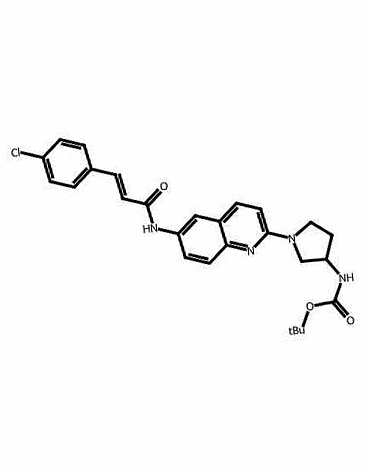 CC(C)(C)OC(=O)NC1CCN(c2ccc3cc(NC(=O)C=Cc4ccc(Cl)cc4)ccc3n2)C1